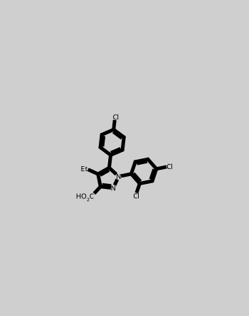 CCc1c(C(=O)O)nn(-c2ccc(Cl)cc2Cl)c1-c1ccc(Cl)cc1